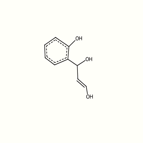 OC=CC(O)c1ccccc1O